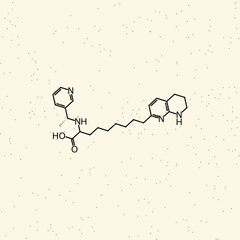 C[C@@H](NC(CCCCCCCc1ccc2c(n1)NCCC2)C(=O)O)c1cccnc1